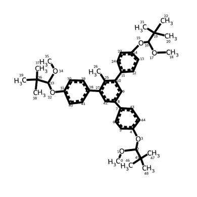 COC(Oc1ccc(-c2cc(-c3ccc(OC(OC)C(C)(C)C)cc3)c(C)c(-c3ccc(OC(OC)C(C)(C)C)cc3)c2)cc1)C(C)(C)C